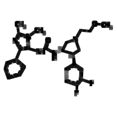 COCCN1C[C@@H](NC(=O)Nc2c(-c3ccccc3)nc(C)n2C)[C@H](c2ccc(F)c(F)c2)C1